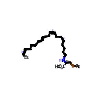 CC/C=C\CC=CCC=CC/C=C\C/C=C\CCCCN[C@H](CSC(C)=O)C(=O)O